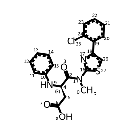 CN(C(=O)[C@@H](CC(=O)O)Nc1ccccc1)c1nc(-c2ccccc2Cl)cs1